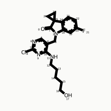 O=C1N(Cc2cnc(Cl)nc2NCCCCCO)c2cc(F)ccc2C12CC2